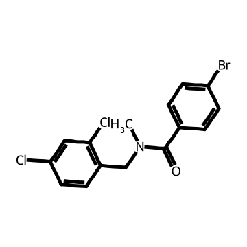 CN(Cc1ccc(Cl)cc1Cl)C(=O)c1ccc(Br)cc1